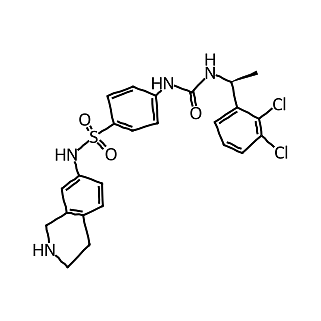 C[C@H](NC(=O)Nc1ccc(S(=O)(=O)Nc2ccc3c(c2)CNCC3)cc1)c1cccc(Cl)c1Cl